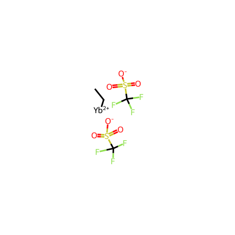 C[CH2][Yb+2].O=S(=O)([O-])C(F)(F)F.O=S(=O)([O-])C(F)(F)F